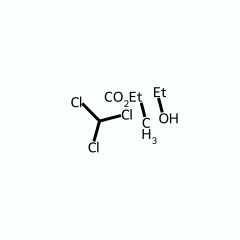 CCO.CCOC(C)=O.ClC(Cl)Cl